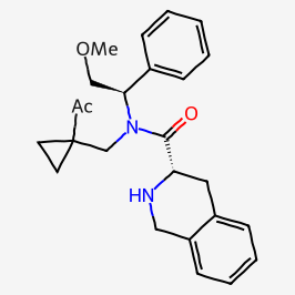 COC[C@@H](c1ccccc1)N(CC1(C(C)=O)CC1)C(=O)[C@@H]1Cc2ccccc2CN1